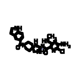 CNc1nc(N)c(Cl)nc1C(=O)/N=C1\NCC2(CCN(C(=O)c3ccc4[nH]ccc4c3)CC2)N1